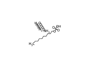 CCCCCCCCCCOS(=O)(=O)O.N.O.O.O.O.O